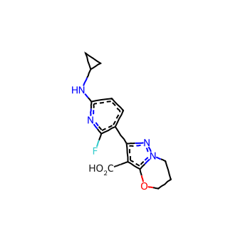 O=C(O)c1c(-c2ccc(NC3CC3)nc2F)nn2c1OCCC2